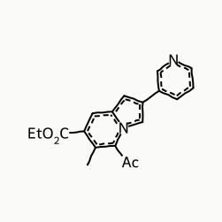 CCOC(=O)c1cc2cc(-c3cccnc3)cn2c(C(C)=O)c1C